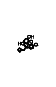 COc1ccc2c3c1OC1C(O)CC[C@]4(O)C(C2)N(CC2CCC2)CC[C@@]314